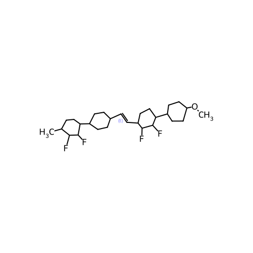 COC1CCC(C2CCC(/C=C/C3CCC(C4CCC(C)C(F)C4F)CC3)C(F)C2F)CC1